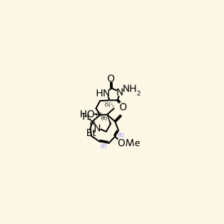 C=C1/C=C(OC)\C=C/CC[C@H]2N(CC)CC[C@@]13C[C@]1(CC[C@@]23O)NC(=O)N(N)C1=O